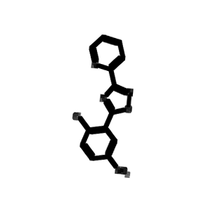 O=[N+]([O-])c1ccc(Cl)c(-c2nc(-c3ccccn3)no2)c1